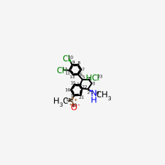 CNC1CCC(c2ccc(Cl)c(Cl)c2)c2ccc([S+](C)[O-])cc21.Cl